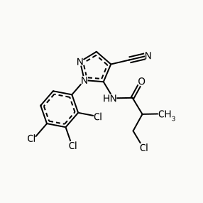 CC(CCl)C(=O)Nc1c(C#N)cnn1-c1ccc(Cl)c(Cl)c1Cl